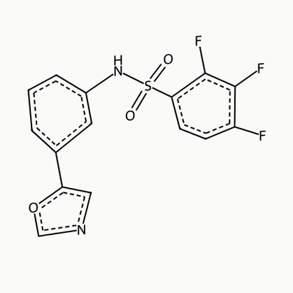 O=S(=O)(Nc1cccc(-c2cnco2)c1)c1ccc(F)c(F)c1F